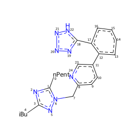 CCCCCc1nc(C(C)CC)nn1Cc1ccc(-c2ccccc2-c2nnn[nH]2)cn1